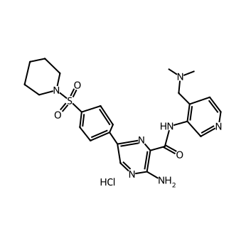 CN(C)Cc1ccncc1NC(=O)c1nc(-c2ccc(S(=O)(=O)N3CCCCC3)cc2)cnc1N.Cl